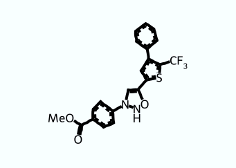 COC(=O)c1ccc(N2C=C(c3cc(-c4ccccc4)c(C(F)(F)F)s3)ON2)cc1